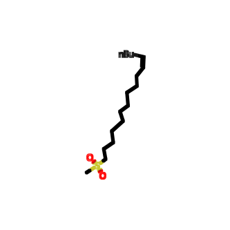 CCCC/C=C\CCCCCCCCCCS(C)(=O)=O